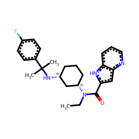 CCN(C(=O)c1cc2ncccc2[nH]1)[C@H]1CCC[C@@H](NC(C)(C)c2ccc(F)cc2)C1